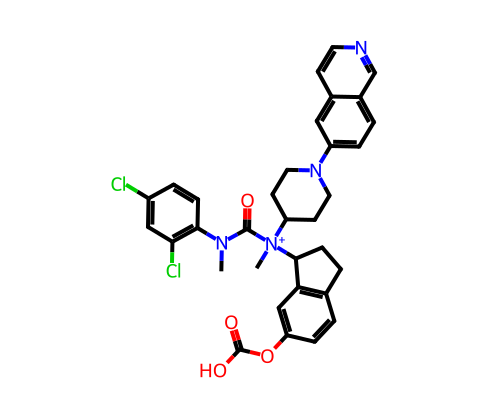 CN(C(=O)[N+](C)(C1CCN(c2ccc3cnccc3c2)CC1)C1CCc2ccc(OC(=O)O)cc21)c1ccc(Cl)cc1Cl